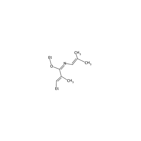 CC/C=C(C)/C(=N\C=C(C)C)OCC